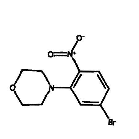 O=[N+]([O-])c1ccc(Br)cc1N1CCOCC1